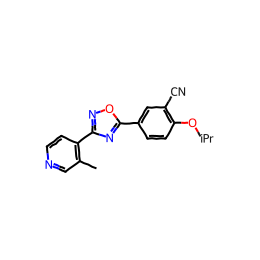 Cc1cnccc1-c1noc(-c2ccc(OC(C)C)c(C#N)c2)n1